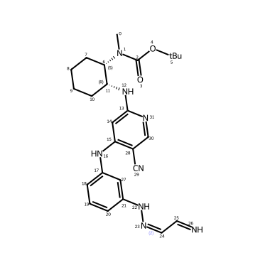 CN(C(=O)OC(C)(C)C)[C@H]1CCCC[C@H]1Nc1cc(Nc2cccc(N/N=C\C=N)c2)c(C#N)cn1